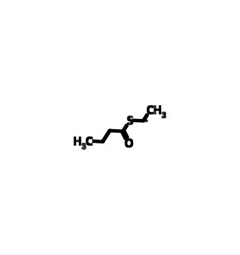 C[CH]SC(=O)CCC